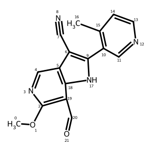 COc1ncc2c(C#N)c(-c3cnccc3C)[nH]c2c1C=O